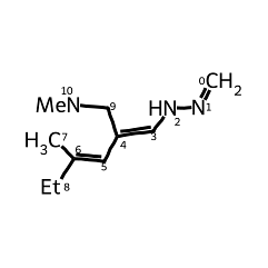 C=NN/C=C(/C=C(\C)CC)CNC